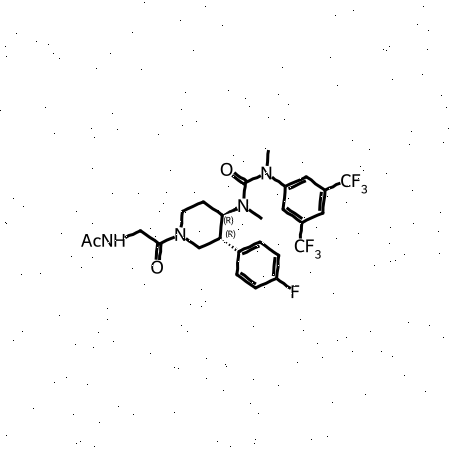 CC(=O)NCC(=O)N1CC[C@@H](N(C)C(=O)N(C)c2cc(C(F)(F)F)cc(C(F)(F)F)c2)[C@H](c2ccc(F)cc2)C1